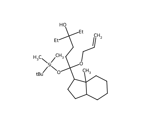 C=CCOC(CCC(O)(CC)CC)(O[Si](C)(C)C(C)(C)C)C1CCC2CCCCC21C